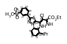 CCOC(=O)C(=N)/C(Cl)=C(\Nc1ccccc1C(C)C)c1nnc(-c2cccc(S(C)(=O)=O)c2)s1